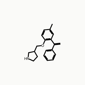 C=C(c1ccccc1)c1cc(C)ccc1OCC1CCNC1